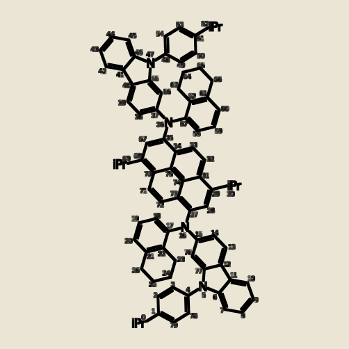 CC(C)c1ccc(-n2c3ccccc3c3ccc(N(c4cccc5c4CCCC5)c4cc(C(C)C)c5ccc6c(N(c7ccc8c9ccccc9n(-c9ccc(C(C)C)cc9)c8c7)c7cccc8c7CCCC8)cc(C(C)C)c7ccc4c5c76)cc32)cc1